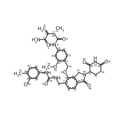 C=C(C(N)=O)[C@H](C)C(=O)Nc1ccc(COc2c(CNC(=O)Nc3ccc(C)c(Cl)c3)ccc3c2CN(C2CCC(=O)NC2=O)C3=O)c(OC)c1